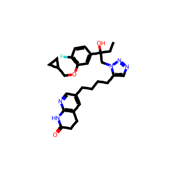 CCC(O)(Cn1nncc1CCCCc1cnc2c(c1)CCC(=O)N2)c1ccc(F)c(OCC2CC2)c1